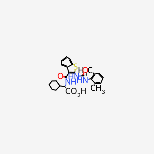 Cc1cccc(C)c1NC(=O)Nc1sc2ccccc2c1C(=O)N[C@H](C(=O)O)C1CCCCC1